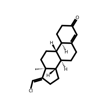 C[C@]12CC[C@H]3[C@@H](CCC4=CC(=O)CC[C@@H]43)[C@@H]1CCC2=CCl